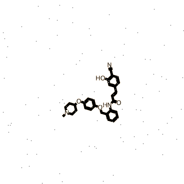 CN1CCC(Oc2ccc(OCc3ccccc3NC(=O)/C=C/c3ccc(C#N)c(O)c3)cc2)CC1